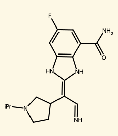 CC(C)N1CCC(/C(C=N)=C2\Nc3cc(F)cc(C(N)=O)c3N2)C1